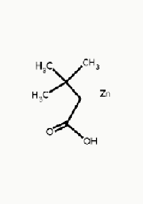 CC(C)(C)CC(=O)O.[Zn]